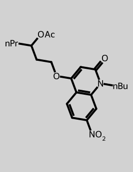 CCCCn1c(=O)cc(OCCC(CCC)OC(C)=O)c2ccc([N+](=O)[O-])cc21